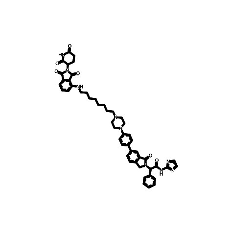 O=C1CCC(N2C(=O)c3cccc(NCCCCCCCCN4CCN(c5ccc(-c6ccc7c(c6)C(=O)N(C(C(=O)Nc6nccs6)c6ccccc6)C7)cc5)CC4)c3C2=O)C(=O)N1